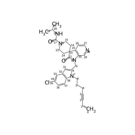 C=CC#CCCCn1c(CN2C(=O)C3(CCN(C(=O)NC(C)C)CC3)c3ccncc32)cc2cc(Cl)ccc21